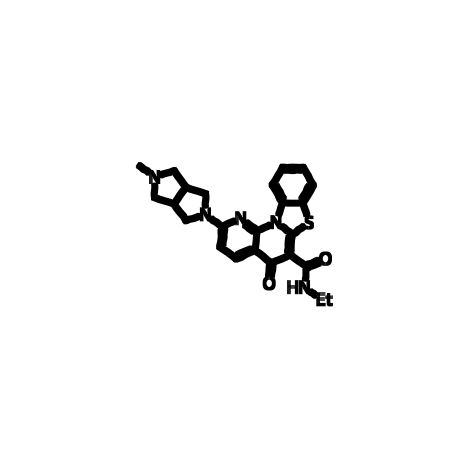 CCNC(=O)c1c(=O)c2ccc(N3CC4CN(C)CC4C3)nc2n2c1sc1ccccc12